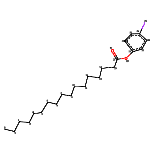 CCCCCCCCCCCCCCCCC(=O)Oc1ccc(I)cc1